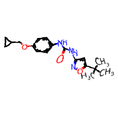 CC(C)(C)c1cc(NC(=O)Nc2ccc(OCC3CC3)cc2)no1